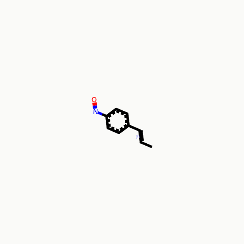 C/C=C/c1ccc(N=O)cc1